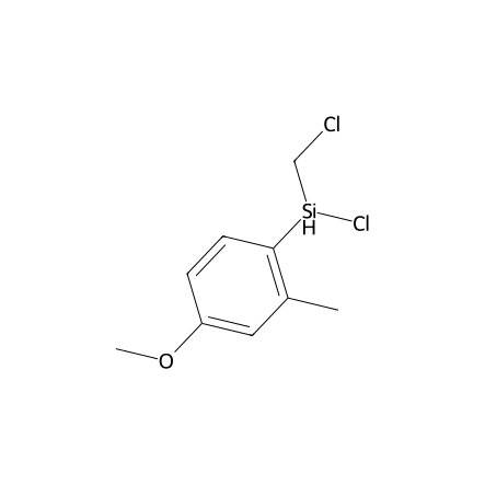 COc1ccc([SiH](Cl)CCl)c(C)c1